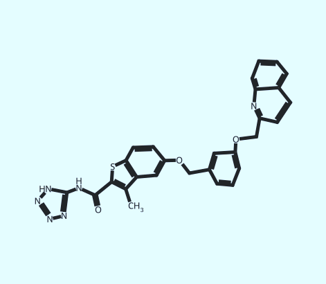 Cc1c(C(=O)Nc2nnn[nH]2)sc2ccc(OCc3cccc(OCc4ccc5ccccc5n4)c3)cc12